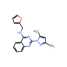 Cc1cc(C)n(-c2nc(NCc3ccco3)c3ccccc3n2)n1